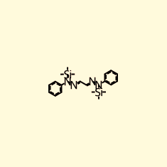 C[Si](C)(C)N(N=CC=NN(c1ccccc1)[Si](C)(C)C)c1ccccc1